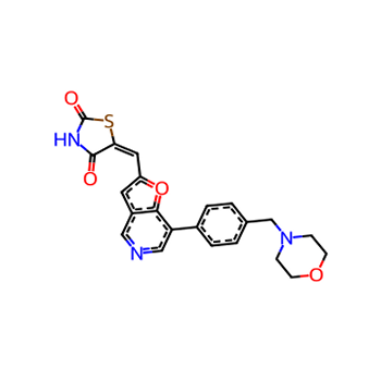 O=C1NC(=O)/C(=C\c2cc3cncc(-c4ccc(CN5CCOCC5)cc4)c3o2)S1